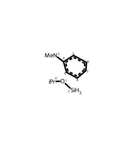 CC(C)O[SiH3].CNc1ccccc1